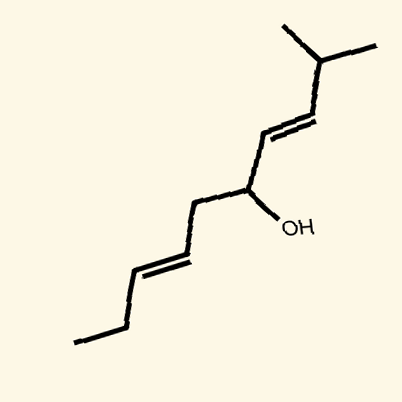 CC/C=C/CC(O)/C=C/C(C)C